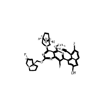 C#Cc1c(F)ccc2cc(O)cc(-c3nc(OC)c4c(N5C[C@H]6CC[C@@H](C5)N6)nc(OC[C@@]56CCCN5C[C@H](F)C6)nc4c3F)c12